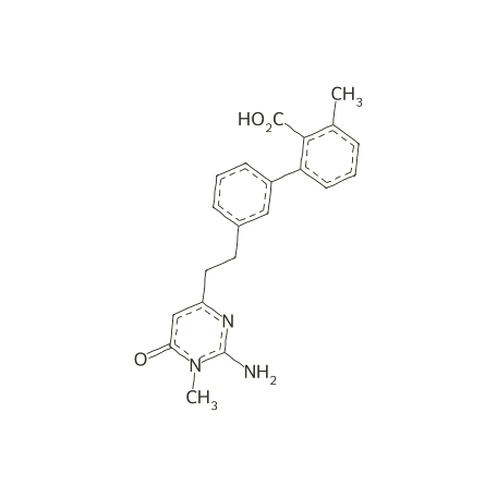 Cc1cccc(-c2cccc(CCc3cc(=O)n(C)c(N)n3)c2)c1C(=O)O